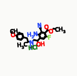 CCOC(=O)c1c(F)cc(C(O)CNC(C)Cc2ccc(OC)cc2)c(N)c1C#N.Cl